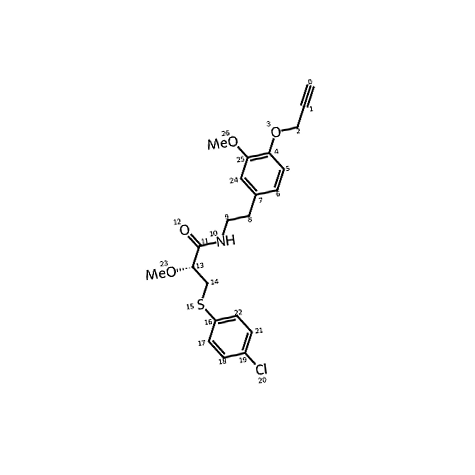 C#CCOc1ccc(CCNC(=O)[C@H](CSc2ccc(Cl)cc2)OC)cc1OC